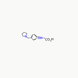 O=C(O)CNCc1ccc(CN2CCCC2)cc1